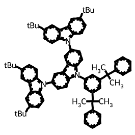 CC(C)(C)c1ccc2c(c1)c1cc(C(C)(C)C)ccc1n2-c1ccc2c(c1)c1cc(-n3c4ccc(C(C)(C)C)cc4c4cc(C(C)(C)C)ccc43)ccc1n2-c1cc(C(C)(C)c2ccccc2)cc(C(C)(C)c2ccccc2)c1